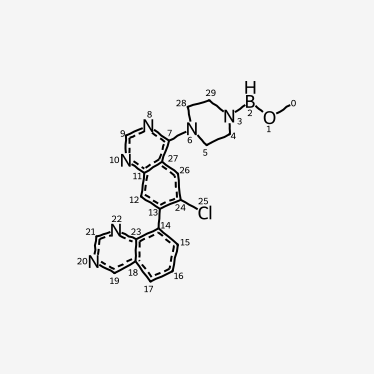 COBN1CCN(c2ncnc3cc(-c4cccc5cncnc45)c(Cl)cc23)CC1